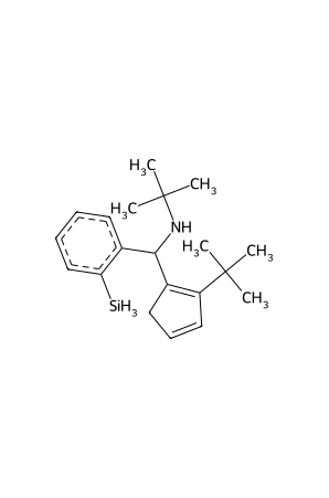 CC(C)(C)NC(C1=C(C(C)(C)C)C=CC1)c1ccccc1[SiH3]